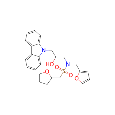 O=S(=O)(CC1CCCO1)N(Cc1ccco1)CC(O)Cn1c2ccccc2c2ccccc21